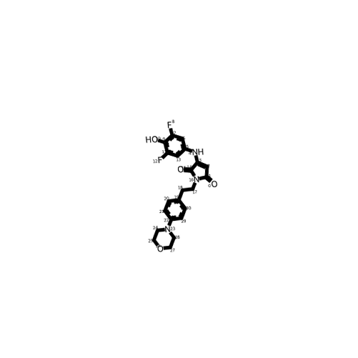 O=C1C=C(Nc2cc(F)c(O)c(F)c2)C(=O)N1CCc1ccc(N2CCOCC2)cc1